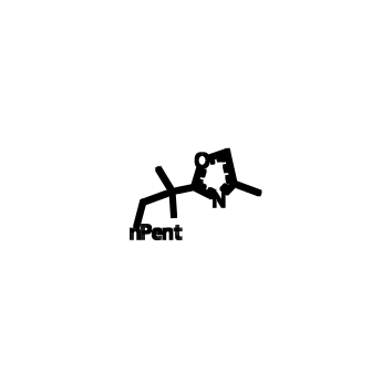 CCCCCCC(C)(C)c1nc(C)co1